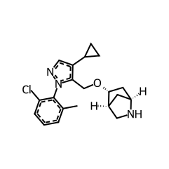 Cc1cccc(Cl)c1-n1ncc(C2CC2)c1CO[C@@H]1C[C@@H]2C[C@H]1CN2